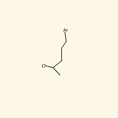 CC(=O)CCCC(C)Cl